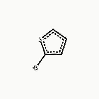 [B]c1cccs1